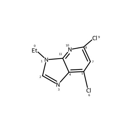 CCn1cnc2c(Cl)cc(Cl)nc21